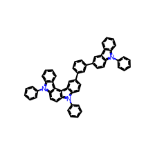 c1ccc(-n2c3ccccc3c3cc(-c4cccc(-c5ccc6c(c5)c5c7c8ccccc8n(-c8ccccc8)c7ccc5n6-c5ccccc5)c4)ccc32)cc1